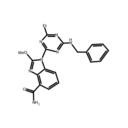 CCc1nc(NCc2ccccc2)nc(-n2c(OC)nc3c(C(N)=O)cccc32)n1